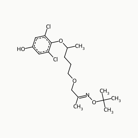 CC(COCCCC(C)Oc1c(Cl)cc(O)cc1Cl)=NOC(C)(C)C